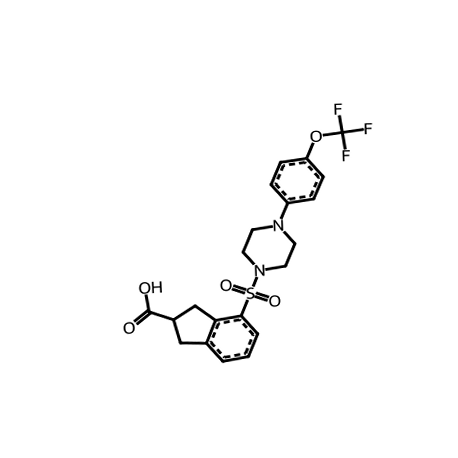 O=C(O)C1Cc2cccc(S(=O)(=O)N3CCN(c4ccc(OC(F)(F)F)cc4)CC3)c2C1